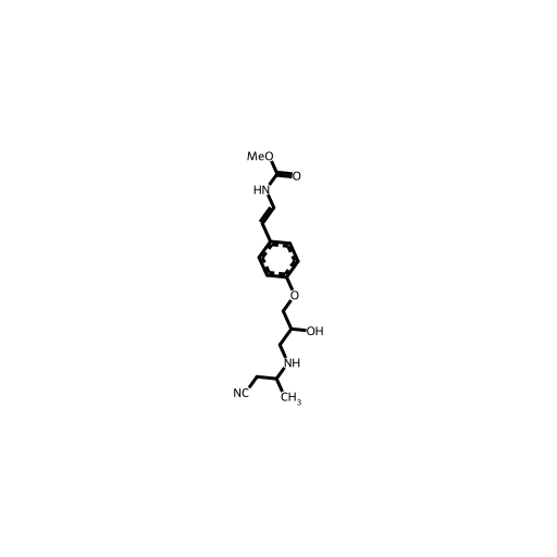 COC(=O)NC=Cc1ccc(OCC(O)CNC(C)CC#N)cc1